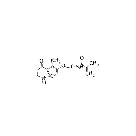 C=C(C)C(=O)NCCOc1ccc2c(c1N)C(=O)CCN2